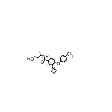 C[C@H](CCO)NC(=O)c1ccc(Oc2ccc(C(F)(F)F)cc2)c(N2CCC2)n1